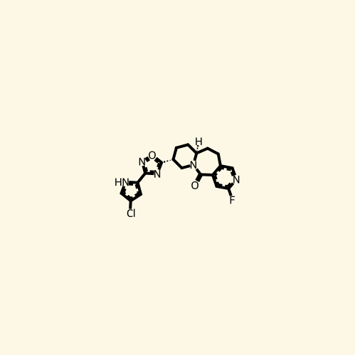 O=C1c2cc(F)ncc2CC[C@@H]2CC[C@@H](c3nc(-c4cc(Cl)c[nH]4)no3)CN12